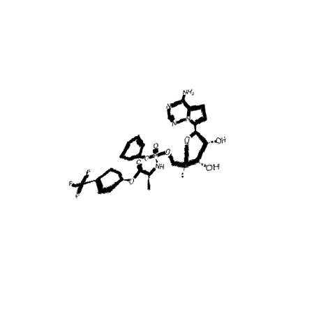 C[C@H](N[P@](=O)(OC[C@@]1(C)O[C@@H](c2ccc3c(N)ncnn23)[C@H](O)[C@@H]1O)Oc1ccccc1)C(=O)O[C@H]1CC[C@@H](C(F)(F)F)CC1